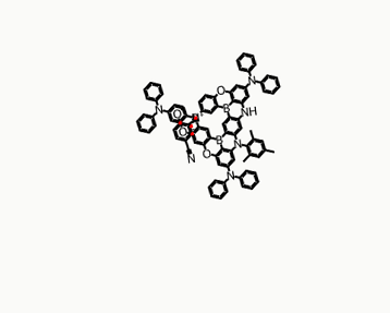 [C-]#[N+]c1ccc2c(c1)B1c3cc4c(cc3Nc3cc(N(c5ccccc5)c5ccccc5)cc(c31)O2)N(c1c(C)cc(C)cc1C)c1cc(N(c2ccccc2)c2ccccc2)cc2c1B4c1cc3c(cc1O2)Oc1cc(N(c2ccccc2)c2ccccc2)cc2c1B3c1cc(C#N)ccc1O2